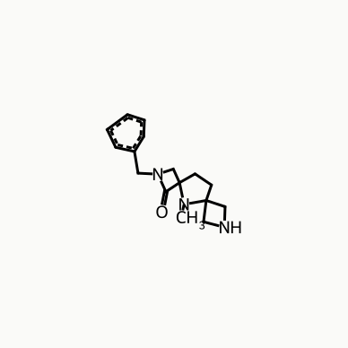 CN1C2(CCC13CN(Cc1ccccc1)C3=O)CNC2